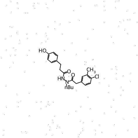 CCCCN(NC(=O)CCc1ccc(O)cc1)C(=O)Cc1ccc(Cl)c(C)c1